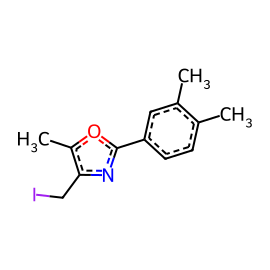 Cc1ccc(-c2nc(CI)c(C)o2)cc1C